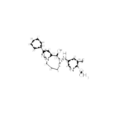 COc1ncc(NN2CCCCn3nc(-c4ccccc4)cc3C2=O)cc1F